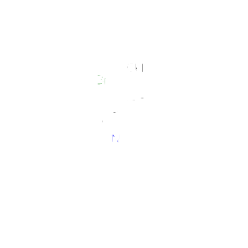 CC(Br)c1cccc2c1ccn2-c1ccccc1